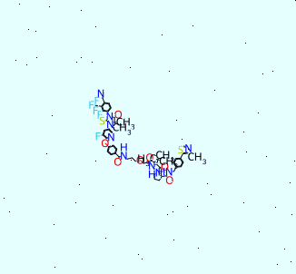 Cc1ncsc1-c1ccc(CNC(=O)C2CCCN2C(=O)C(NC(=O)COCCCNC(=O)c2ccc(Oc3ncc(N4C(=S)N(c5ccc(C#N)c(C(F)(F)F)c5F)C(=O)C4(C)C)cc3F)cc2)C(C)(C)C)cc1